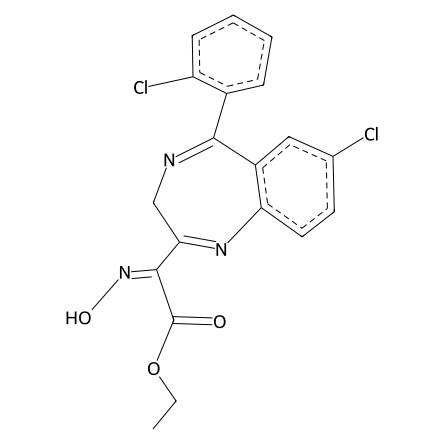 CCOC(=O)/C(=N\O)C1=Nc2ccc(Cl)cc2C(c2ccccc2Cl)=NC1